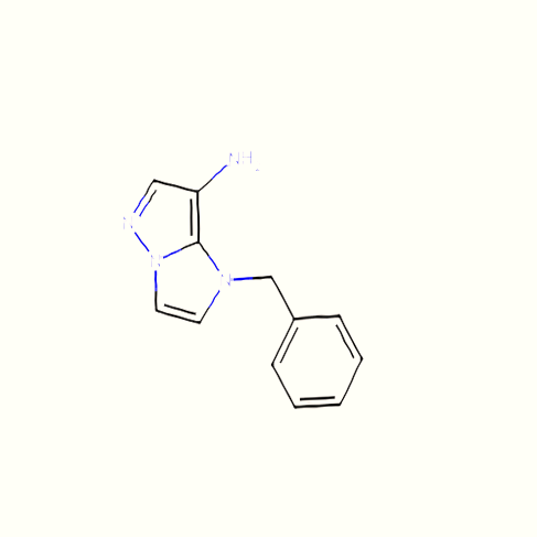 Nc1cnn2ccn(Cc3ccccc3)c12